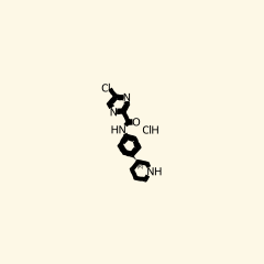 Cl.O=C(Nc1ccc([C@H]2CCCNC2)cc1)c1cnc(Cl)cn1